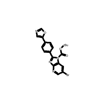 CC(C)(C)OC(=O)n1c(-c2ccc(-c3cnco3)cc2)nc2ncc(Br)cc21